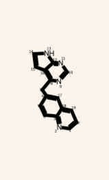 c1cnc2ccc(Cc3ncnc4[nH]ccc34)cc2c1